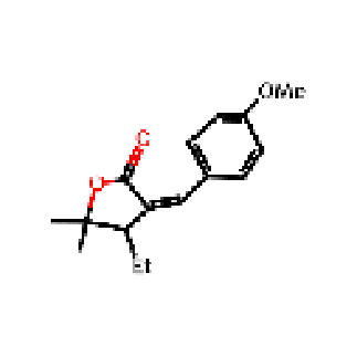 CCC1C(=Cc2ccc(OC)cc2)C(=O)OC1(C)C